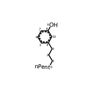 CCCCCCCCc1cc[c]c(O)c1